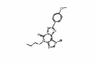 CCCCn1c(=O)n2nc(-c3ccc(OC)cc3)nc2c2c1ncn2Br